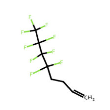 C=CCCC(F)(F)C(F)(F)C(F)(F)C(F)(F)F